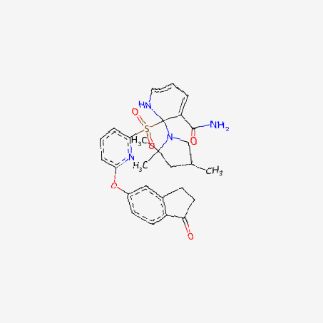 CC1CN(C2(S(=O)(=O)c3cccc(Oc4ccc5c(c4)CCC5=O)n3)NC=CC=C2C(N)=O)C(C)(C)C1